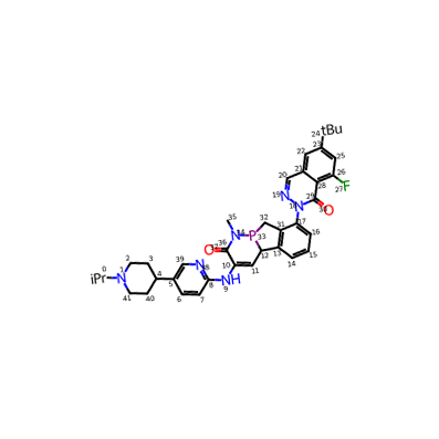 CC(C)N1CCC(c2ccc(NC3=CC4c5cccc(-n6ncc7cc(C(C)(C)C)cc(F)c7c6=O)c5CP4N(C)C3=O)nc2)CC1